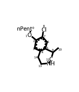 CCCCCOc1cc2c(cc1Cl)C(C)CNCC2